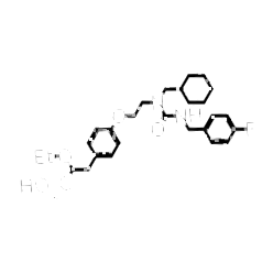 CCOC(Cc1ccc(OCCN(CC2CCCCC2)C(=O)NCc2ccc(F)cc2)cc1)C(=O)O